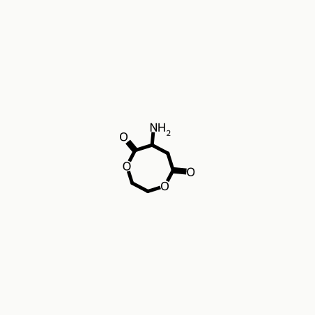 NC1CC(=O)OCCOC1=O